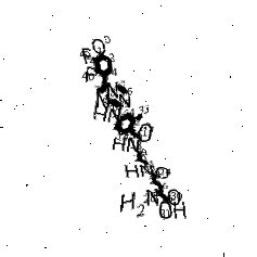 COc1ccc(-c2cnc3c(Nc4ccc(C(=O)NCCCNC(=O)CCC(N)C(=O)O)c(C)c4)nccn23)c(F)c1F